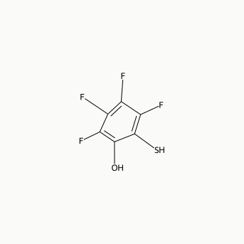 Oc1c(F)c(F)c(F)c(F)c1S